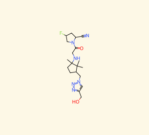 CC1(NCC(=O)N2CC(F)CC2C#N)CCC(Cn2cc(CO)nn2)C1(C)C